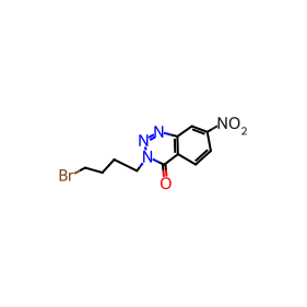 O=c1c2ccc([N+](=O)[O-])cc2nnn1CCCCBr